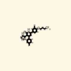 Cc1ccc(-c2cc(-c3ccc(OCCCC(F)(F)F)c(C)c3)[nH]c(=O)c2-c2nnn[nH]2)cc1